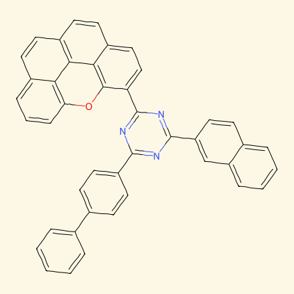 c1ccc(-c2ccc(-c3nc(-c4ccc5ccccc5c4)nc(-c4ccc5ccc6ccc7cccc8c7c6c5c4O8)n3)cc2)cc1